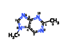 Cc1ncc2c(ncn2C)n1